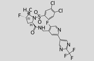 C[C@@H]1[C@@H](F)C[C@H](C(=O)NCc2cc(-c3cnc(C(F)(F)F)nc3)ncc2F)N1S(=O)(=O)c1ccc(Cl)c(Cl)c1